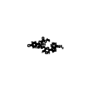 CCOC(=O)[C@H](C)NP(=O)(OC[C@@H](O[C@H](C)c1cnc2c(N)ncnn12)C(C)O)Oc1ccc(Cl)cc1